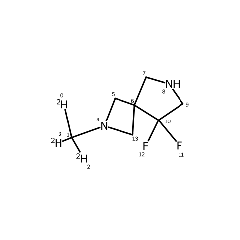 [2H]C([2H])([2H])N1CC2(CNCC2(F)F)C1